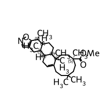 COC(=O)[C@@]1(C)CCC(C)(C)CCC2=CC[C@@H]3[C@@]4(C)Cc5cnoc5[C@@H](C)[C@@H]4CC[C@@]3(C)[C@]2(C)CC1